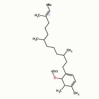 CCCC/C=C(\C)CCCC(C)CCCC(C)CCC1=CC=C(C)C(C)C1OCCCCCCCC